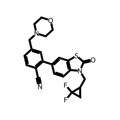 N#Cc1ccc(CN2CCOCC2)cc1-c1ccc2c(c1)sc(=O)n2CC1CC1(F)F